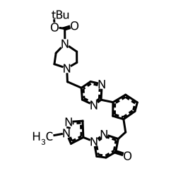 Cn1cc(-n2ccc(=O)c(Cc3cccc(-c4ncc(CN5CCN(C(=O)OC(C)(C)C)CC5)cn4)c3)n2)cn1